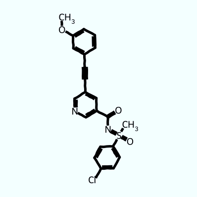 COc1cccc(C#Cc2cncc(C(=O)N=S(C)(=O)c3ccc(Cl)cc3)c2)c1